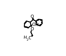 C=CCOC1(O)C=CC=CC1C(=O)c1ccccc1